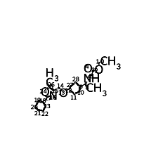 CCOC(=O)CN[C@@H](C)c1ccc(OCc2nc(-c3ccccc3)oc2C)cc1